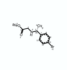 COC(=O)CN[C@H](C)c1ccc(Br)cc1